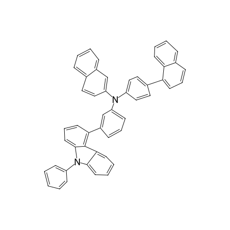 c1ccc(-n2c3ccccc3c3c(-c4cccc(N(c5ccc(-c6cccc7ccccc67)cc5)c5ccc6ccccc6c5)c4)cccc32)cc1